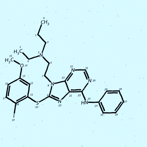 CCCN(CC)CCn1c(Sc2cc(OC)ccc2I)nc2c(Nc3ccccc3)ncnc21